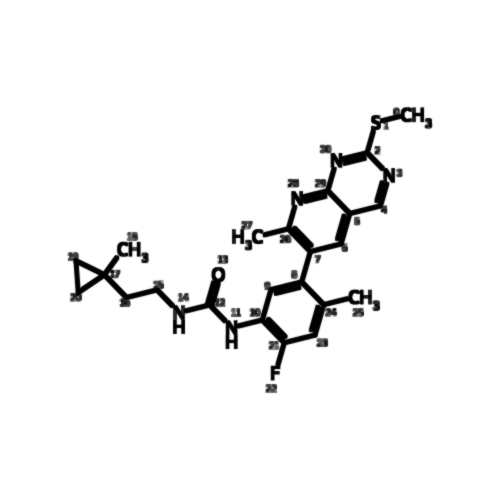 CSc1ncc2cc(-c3cc(NC(=O)NCCC4(C)CC4)c(F)cc3C)c(C)nc2n1